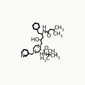 CC(C)CC(=O)NC(Cc1ccccc1)C[C@H](O)CN1CCN(Cc2cccnc2)C[C@H]1C(=O)NC(C)(C)C